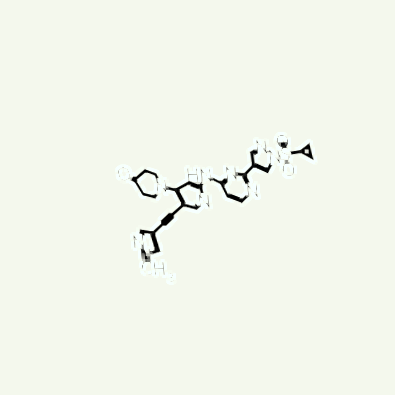 Cn1cc(C#Cc2cnc(Nc3ccnc(-c4cnn(S(=O)(=O)C5CC5)c4)n3)cc2N2CCC(=O)CC2)cn1